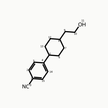 N#Cc1ccc(C2CCC(CCO)CC2)cc1